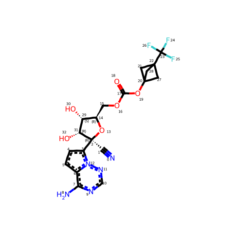 N#C[C@@]1(c2ccc3c(N)ncnn23)O[C@H](COC(=O)OC23CC(C(F)(F)F)(C2)C3)[C@@H](O)[C@H]1O